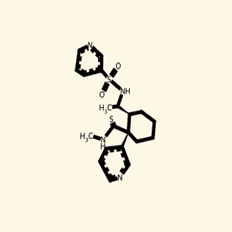 CNC(=S)[C@@]1(c2cccnc2)CCCC[C@@H]1C(C)NS(=O)(=O)c1cccnc1